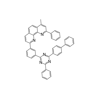 Cc1cc(-c2ccccc2)nc2c1ccc1ccc(-c3cccc(-c4nc(-c5ccccc5)nc(-c5ccc(-c6ccccc6)cc5)n4)c3)nc12